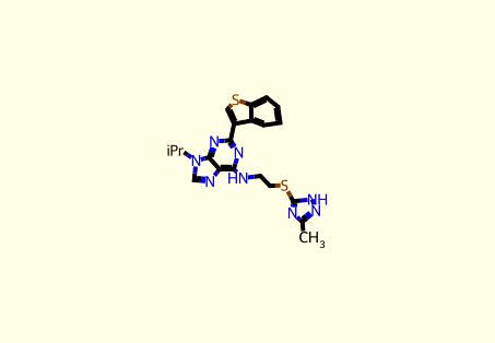 Cc1n[nH]c(SCCNc2nc(-c3csc4ccccc34)nc3c2ncn3C(C)C)n1